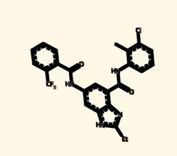 CCc1nc2c(C(=O)Nc3cccc(Cl)c3C)cc(NC(=O)c3ccccc3C(F)(F)F)cc2[nH]1